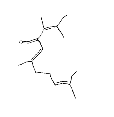 CC(C)=CCCC(C)=CC(=O)C(C)=C(C)C